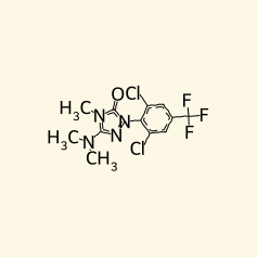 CN(C)c1nn(-c2c(Cl)cc(C(F)(F)F)cc2Cl)c(=O)n1C